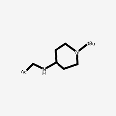 CC(=O)CNC1CCN(C(C)(C)C)CC1